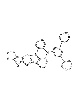 c1ccc(-c2cc(-c3ccccc3)cc(N3c4ccccc4-n4c5cc6c(cc5c5cccc3c54)sc3ccccc36)c2)cc1